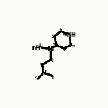 CCCN(CCN(C)C)C1CCNCC1